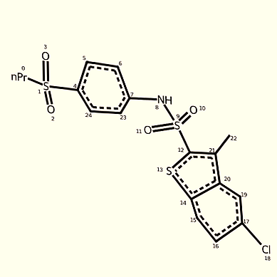 CCCS(=O)(=O)c1ccc(NS(=O)(=O)c2sc3ccc(Cl)cc3c2C)cc1